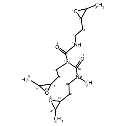 CC1OC1CCNC(=O)N(CCC1OC1C)C(=O)N(C)CCC1OC1C